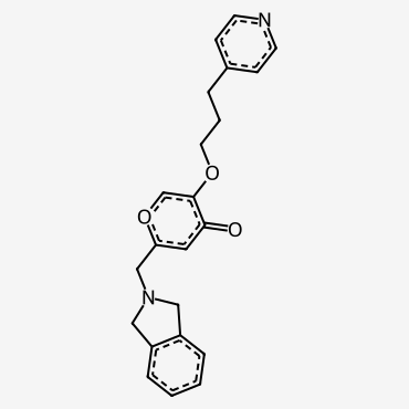 O=c1cc(CN2Cc3ccccc3C2)occ1OCCCc1ccncc1